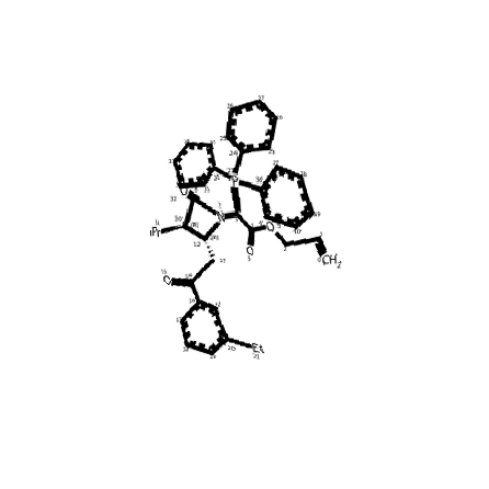 C=CCOC(=O)C(N1C(=O)[C@H](C(C)C)[C@H]1CC(=O)c1cccc(CC)c1)=P(c1ccccc1)(c1ccccc1)c1ccccc1